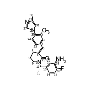 COc1cc(/C=C2\CCCN([C@@H](C)c3ccc(F)c(N)c3)C2=O)ccc1-n1cnc(C)c1